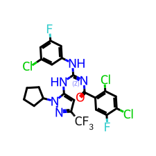 O=C(/N=C(/Nc1cc(F)cc(Cl)c1)Nc1cc(C(F)(F)F)nn1C1CCCC1)c1cc(F)c(Cl)cc1Cl